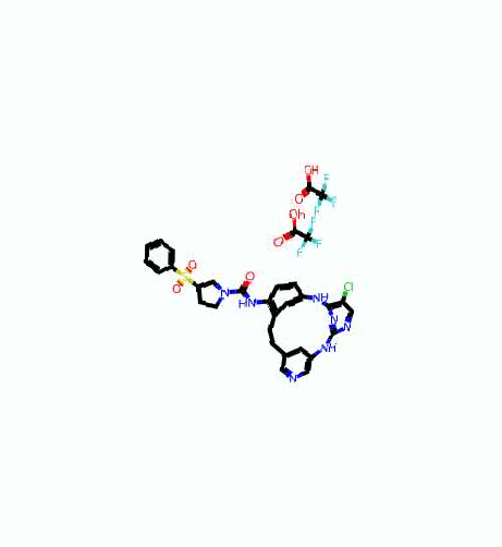 O=C(Nc1ccc2cc1CCc1cncc(c1)Nc1ncc(Cl)c(n1)N2)N1CCC(S(=O)(=O)c2ccccc2)C1.O=C(O)C(F)(F)F.O=C(O)C(F)(F)F